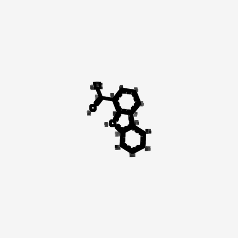 CCC(=O)c1cccc2c1oc1ccccc12